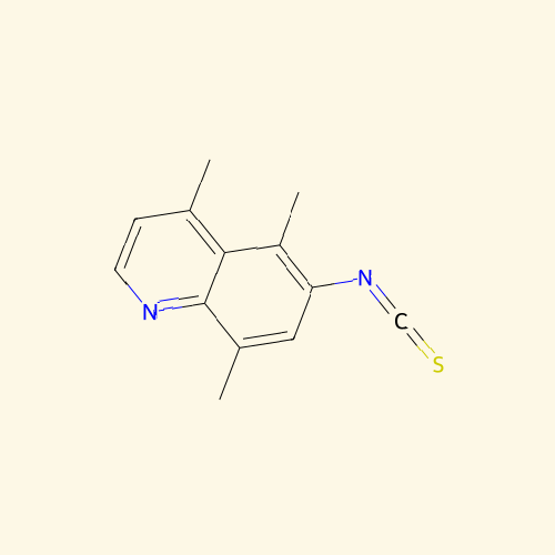 Cc1cc(N=C=S)c(C)c2c(C)ccnc12